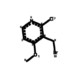 COc1ccnc(Cl)c1CBr